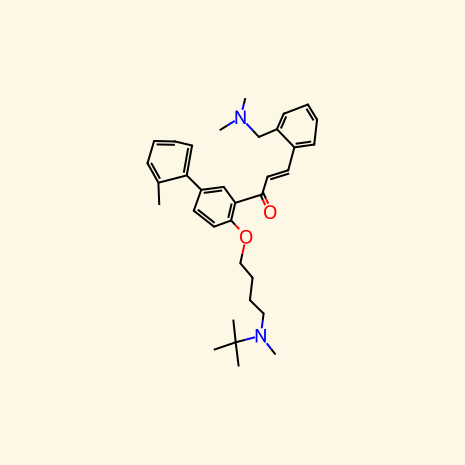 Cc1ccccc1-c1ccc(OCCCCN(C)C(C)(C)C)c(C(=O)/C=C/c2ccccc2CN(C)C)c1